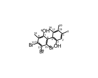 Cc1cc(O)c(-c2c(O)c(C)c(Br)c(Br)c2Br)c(C)c1C